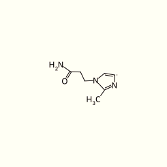 Cc1n[c]cn1CCC(N)=O